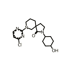 O=C1N(C2CCC(O)CC2)CCC12CCCN(c1nccc(Cl)n1)C2